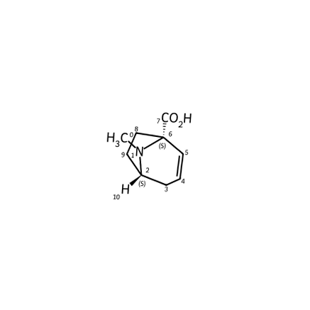 CN1[C@@H]2CC=C[C@]1(C(=O)O)CC2